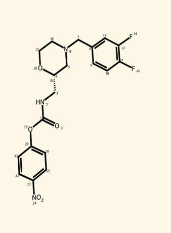 O=C(NC[C@H]1CN(Cc2ccc(F)c(F)c2)CCO1)Oc1ccc([N+](=O)[O-])cc1